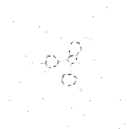 COc1ccc(-c2c(-c3ccnc(NC(C)=O)c3)[nH]c3cc(CN)cnc23)cn1